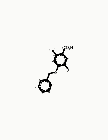 O=C(O)c1cc(F)c(SCc2ccccc2)cc1Cl